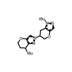 CC(C)(C)C1CCOc2cn(C3COc4cnn(C(C)(C)C)c4C3)nc21